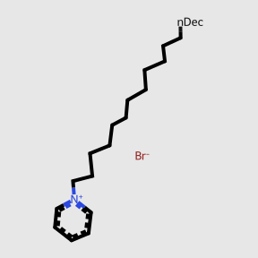 CCCCCCCCCCCCCCCCCCCCCC[n+]1ccccc1.[Br-]